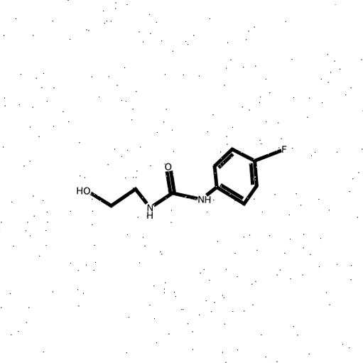 O=C(NCCO)Nc1ccc(F)cc1